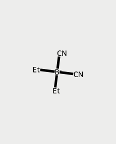 CC[B-](C#N)(C#N)CC